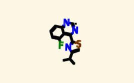 CC(C)c1csc(-c2n[c]nc3cccc(F)c23)n1